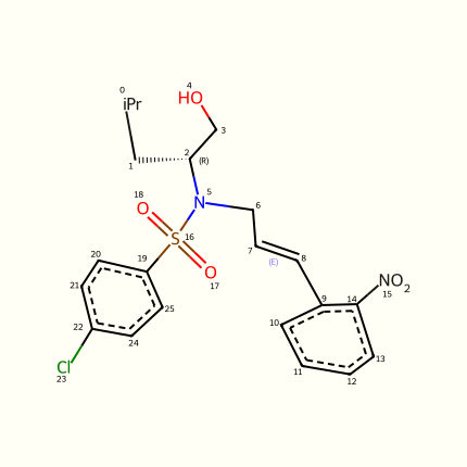 CC(C)C[C@H](CO)N(C/C=C/c1ccccc1[N+](=O)[O-])S(=O)(=O)c1ccc(Cl)cc1